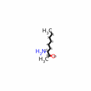 CCCCCC[C@@H](N)C(C)=O